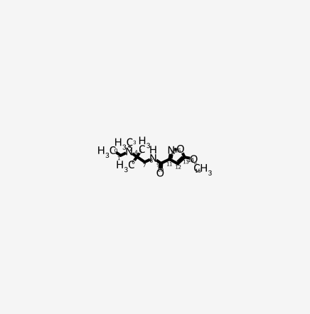 CCN(C)C(C)(C)CNC(=O)c1cc(OC)on1